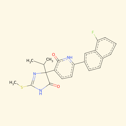 CSC1=NC(c2ccc(-c3ccc4cccc(F)c4c3)[nH]c2=O)(C(C)C)C(=O)N1